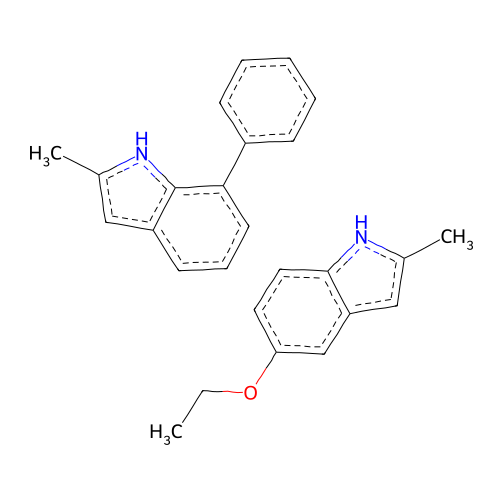 CCOc1ccc2[nH]c(C)cc2c1.Cc1cc2cccc(-c3ccccc3)c2[nH]1